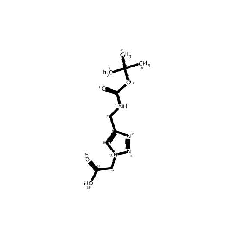 CC(C)(C)OC(=O)NCc1cn(CC(=O)O)nn1